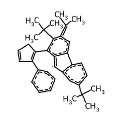 CC(C)=c1cc2c(c(C3=C(c4ccccc4)C=CC3)c1C(C)(C)C)=[C]c1cc(C(C)(C)C)ccc1-2